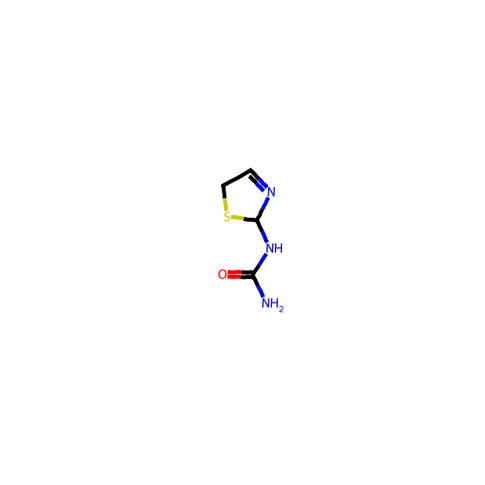 NC(=O)NC1N=CCS1